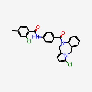 Cc1ccc(C(=O)Nc2ccc(C(=O)N3Cc4ccc(Cl)n4Cc4ccccc43)cc2)c(Cl)c1